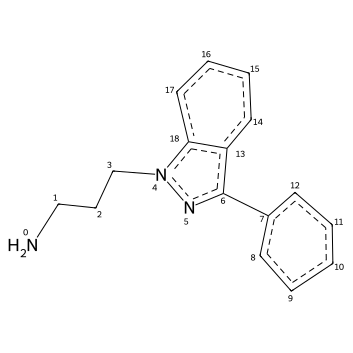 NCCCn1nc(-c2ccccc2)c2ccccc21